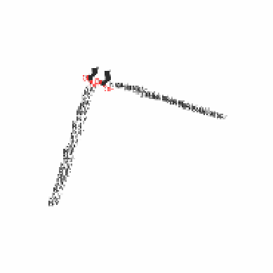 C=CC(=O)O.C=CC(=O)O.[Na+].[Na+].[Na+].[Na+].[Na+].[Na+].[Na+].[Na+].[Na+].[Na+].[Na+].[Na+].[Na+].[Na+].[Na+].[Na+].[Na+].[Na+].[Na+].[Na+].[Na+].[Na+].[Na+].[Na+].[Na+].[Na+].[Na+].[Na+].[Na+].[Na+].[Na+].[Na+].[Na+].[Na+].[Na+].[Na+].[Na+].[Na+].[Na+].[Na+].[Na+].[Na+].[Na+].[Na+].[Na+].[Na+].[Na+].[Na+].[Na+].[Na+].[Na+].[Na+].[Na+].[Na+]